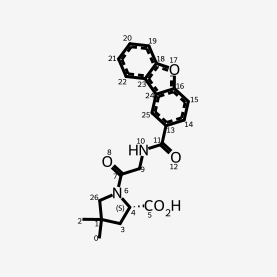 CC1(C)C[C@@H](C(=O)O)N(C(=O)CNC(=O)c2ccc3oc4ccccc4c3c2)C1